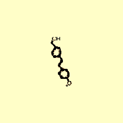 COc1ccc(C=Cc2ccc(CO)cc2)cc1